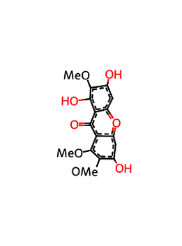 COc1c(O)cc2oc3cc(O)c(OC)c(OC)c3c(=O)c2c1O